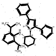 CC(C)c1cccc(C(C)C)c1N[C@H]1CCCC[C@@H]1n1nc(-c2ccccc2)cc1-c1ccccc1